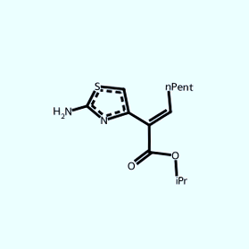 CCCCC/C=C(/C(=O)OC(C)C)c1csc(N)n1